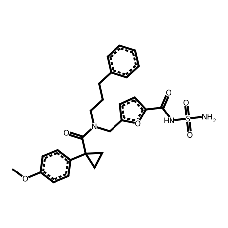 COc1ccc(C2(C(=O)N(CCCc3ccccc3)Cc3ccc(C(=O)NS(N)(=O)=O)o3)CC2)cc1